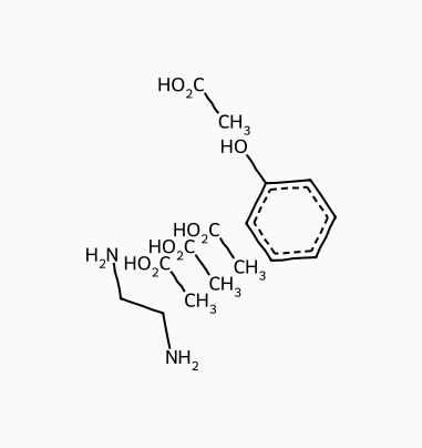 CC(=O)O.CC(=O)O.CC(=O)O.CC(=O)O.NCCN.Oc1ccccc1